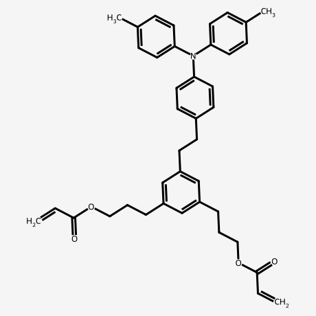 C=CC(=O)OCCCc1cc(CCCOC(=O)C=C)cc(CCc2ccc(N(c3ccc(C)cc3)c3ccc(C)cc3)cc2)c1